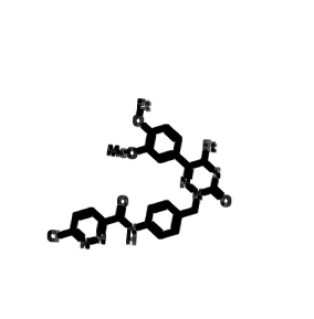 CCOc1ccc(C2=NN(Cc3ccc(NC(=O)c4ccc(Cl)nn4)cc3)C(=O)SC2CC)cc1OC